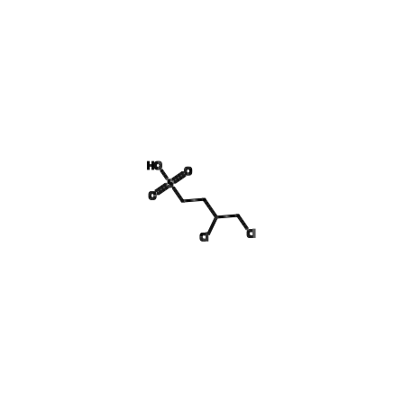 O=S(=O)(O)CCC(Cl)CCl